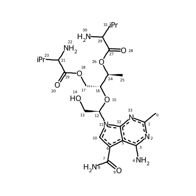 Cc1nc(N)c2c(C(N)=O)cn([C@@H](CO)O[C@H](COC(=O)C(N)C(C)C)[C@H](C)OC(=O)C(N)C(C)C)c2n1